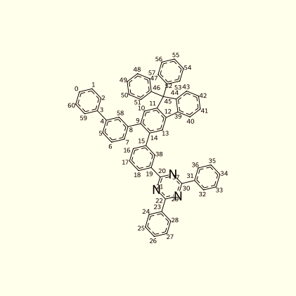 c1ccc(-c2cccc(-c3cc4c(cc3-c3cccc(-c5nc(-c6ccccc6)nc(-c6ccccc6)n5)c3)-c3ccccc3C4(c3ccccc3)c3ccccc3)c2)cc1